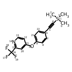 C[Si](C)(C)C#Cc1ccc(Oc2ccnc(C(F)(F)F)c2)cc1